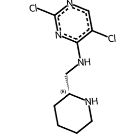 Clc1ncc(Cl)c(NC[C@H]2CCCCN2)n1